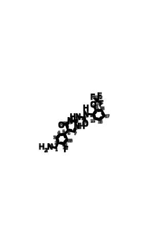 NCc1ccc(-c2c[nH]c(NC(=O)Nc3ccccc3OC(F)(F)F)nc2=O)cc1F